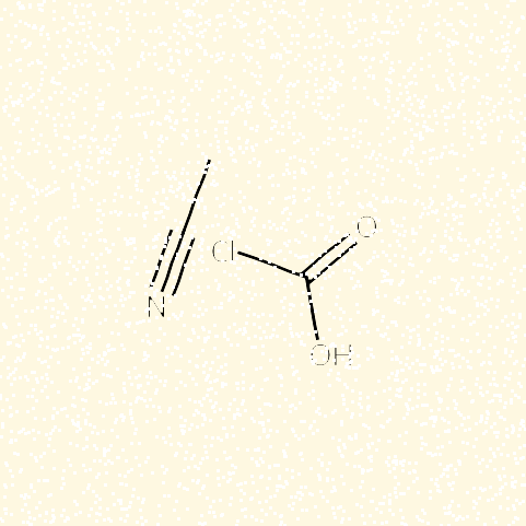 CC#N.O=C(O)Cl